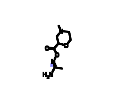 C/C(N)=N\OC(=O)C1CN(C)CCO1